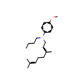 CCCCN(C/C=C(\C)CCC=C(C)C)c1ccc(OC)cc1